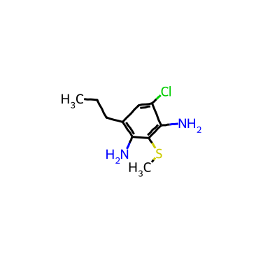 CCCc1cc(Cl)c(N)c(SC)c1N